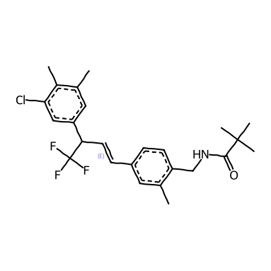 Cc1cc(/C=C/C(c2cc(C)c(C)c(Cl)c2)C(F)(F)F)ccc1CNC(=O)C(C)(C)C